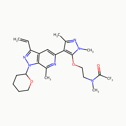 C=Cc1nn(C2CCCCO2)c2c(C)nc(-c3c(C)nn(C)c3OCCN(C)C(=O)C(F)(F)F)cc12